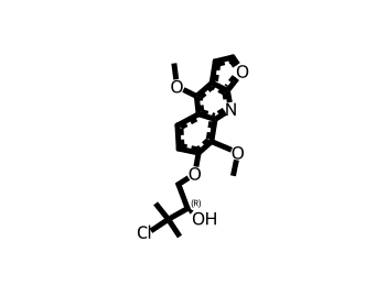 COc1c2ccoc2nc2c(OC)c(OC[C@@H](O)C(C)(C)Cl)ccc12